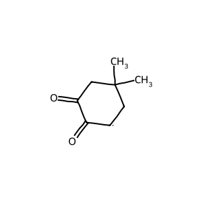 CC1(C)C[CH]C(=O)C(=O)C1